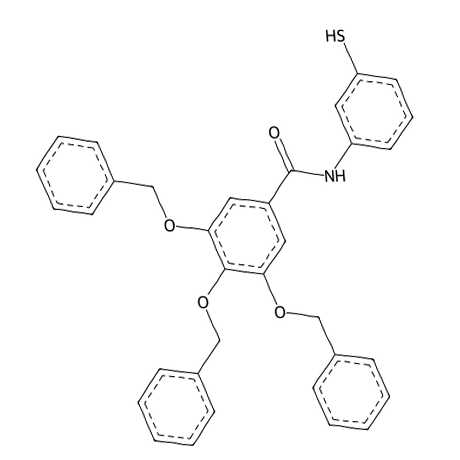 O=C(Nc1cccc(S)c1)c1cc(OCc2ccccc2)c(OCc2ccccc2)c(OCc2ccccc2)c1